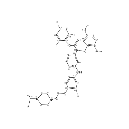 COc1ccc(OC)c(CN(C(=O)Oc2c(C)cc(F)cc2C)c2ccnc(Nc3ccc(OCCN4CCN(C(C)C)CC4)c(F)c3)n2)c1